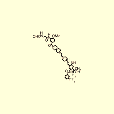 COc1ccc(C(=O)N2CCC3(CCN(CCN4CCC(N/C=C5/C=C(NC(=O)c6cccc(C(F)(F)F)n6)C(C(C)(C)O)=CC5=N)CC4)CC3)CC2)cc1NC(=O)CCNC=O